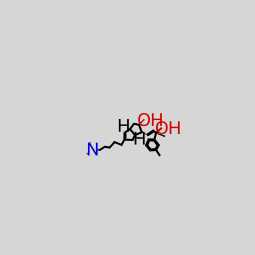 Cc1cccc([C@@](C)(O)/C=C/[C@@H]2[C@H]3CC(CCCCCN(C)C)=C[C@H]3C[C@H]2O)c1